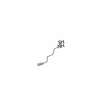 C#CCCCCNS